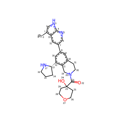 CC(C)c1c[nH]c2ncc(-c3cc4c(c([C@@H]5CCCN5)c3)CN(C(=O)C3(O)CCOCC3)CC4)cc12